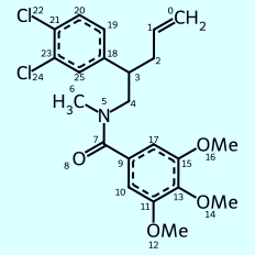 C=CCC(CN(C)C(=O)c1cc(OC)c(OC)c(OC)c1)c1ccc(Cl)c(Cl)c1